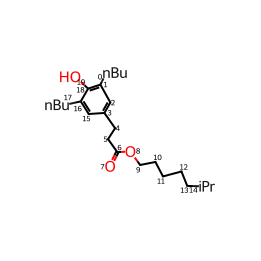 CCCCc1cc(CCC(=O)OCCCCCC(C)C)cc(CCCC)c1O